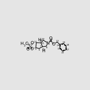 CS(=O)(=O)O[C@H]1C[C@@H]2CN(C(=O)OCc3ccccc3)C[C@@H]2C1